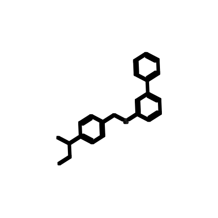 CCC(C)c1ccc(COc2cccc(-c3ccccc3)c2)cc1